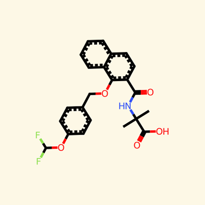 CC(C)(NC(=O)c1ccc2ccccc2c1OCc1ccc(OC(F)F)cc1)C(=O)O